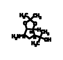 CC1(C)OC2[C@H](N)C[C@H](C(C)(C)O)[C@H]2O1